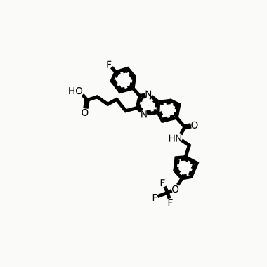 O=C(O)CCCCc1nc2cc(C(=O)NCc3ccc(OC(F)(F)F)cc3)ccc2nc1-c1ccc(F)cc1